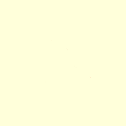 Cc1ccc2c(=O)c(C(=O)c3ccc(C)c(C)c3)cn(Cc3cccc(Br)n3)c2n1